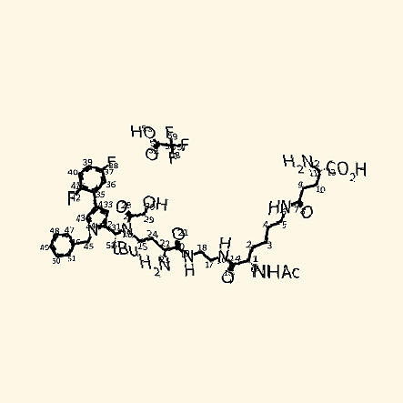 CC(=O)N[C@@H](CCCCNC(=O)CC[C@H](N)C(=O)O)C(=O)NCCNC(=O)[C@@H](N)CCN(C(=O)CO)[C@@H](c1cc(-c2cc(F)ccc2F)cn1Cc1ccccc1)C(C)(C)C.O=C(O)C(F)(F)F